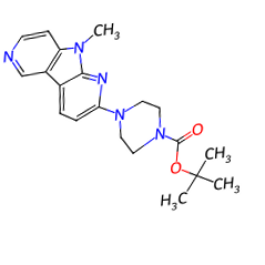 Cn1c2ccncc2c2ccc(N3CCN(C(=O)OC(C)(C)C)CC3)nc21